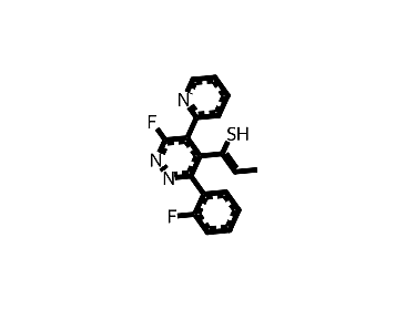 C/C=C(\S)c1c(-c2ccccc2F)nnc(F)c1-c1ccccn1